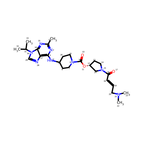 Cc1nc(NC2CCN(C(=O)O[C@@H]3CCN(C(=O)/C=C/CN(C)C)C3)CC2)c2ncn(C(C)C)c2n1